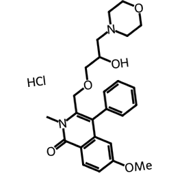 COc1ccc2c(=O)n(C)c(COCC(O)CN3CCOCC3)c(-c3ccccc3)c2c1.Cl